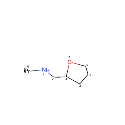 CC(C)NC[C@H]1CCCO1